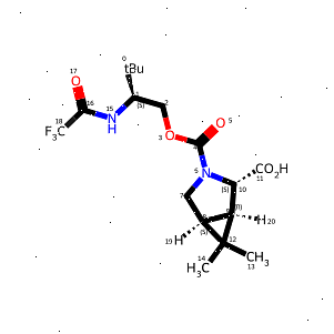 CC(C)(C)[C@@H](COC(=O)N1C[C@H]2[C@@H]([C@H]1C(=O)O)C2(C)C)NC(=O)C(F)(F)F